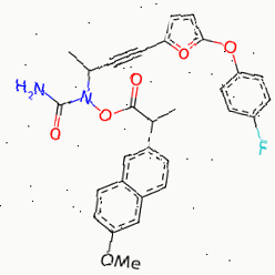 COc1ccc2cc(C(C)C(=O)ON(C(N)=O)C(C)C#Cc3ccc(Oc4ccc(F)cc4)o3)ccc2c1